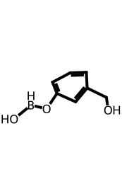 OBOc1cccc(CO)c1